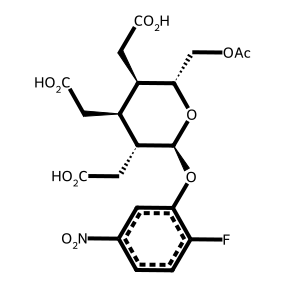 CC(=O)OC[C@@H]1O[C@@H](Oc2cc([N+](=O)[O-])ccc2F)[C@H](CC(=O)O)[C@@H](CC(=O)O)[C@H]1CC(=O)O